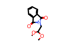 COC(CN1C(=O)c2ccccc2C1=O)OC